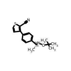 C[C@@H](NOC(C)(C)C)c1ccc(-c2ccsc2C#N)cc1